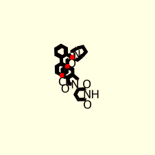 O=C1CCC(N2Cc3cc(CN4CC5CCC(C4)N5C(=O)c4ccccc4-c4ccc(Cl)cc4)ccc3C2=O)C(=O)N1